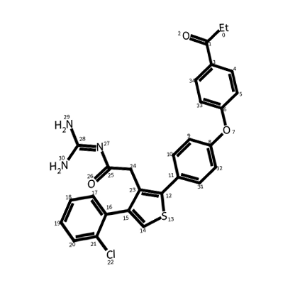 CCC(=O)c1ccc(Oc2ccc(-c3scc(-c4ccccc4Cl)c3CC(=O)N=C(N)N)cc2)cc1